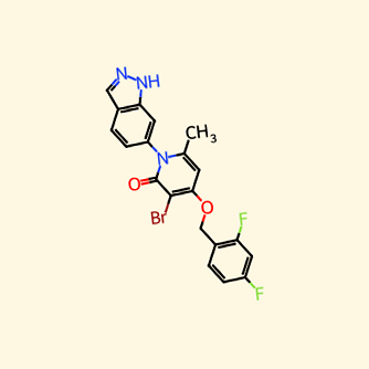 Cc1cc(OCc2ccc(F)cc2F)c(Br)c(=O)n1-c1ccc2cn[nH]c2c1